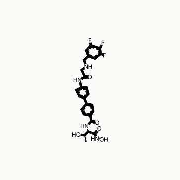 C[C@@H](O)[C@H](NC(=O)c1ccc(-c2ccc(NC(=O)CNCc3cc(F)c(F)c(F)c3)cc2)cc1)C(=O)NO